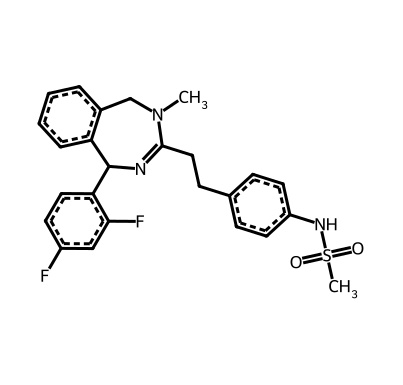 CN1Cc2ccccc2C(c2ccc(F)cc2F)N=C1CCc1ccc(NS(C)(=O)=O)cc1